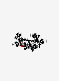 CC(C)CN(c1nc(NCCCCC(CCCNc2nc(N(CC(C)C)C3CC(C)(C)NC(C)(C)C3)nc(N(CC(C)C)C3CC(C)(C)NC(C)(C)C3)n2)CNc2nc(N(CC(C)C)C3CC(C)(C)NC(C)(C)C3)nc(N(CC(C)C)C3CC(C)(C)NC(C)(C)C3)n2)nc(N(CC(C)C)C2CC(C)(C)NC(C)(C)C2)n1)C1CC(C)(C)NC(C)(C)C1